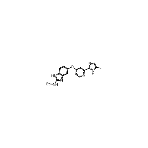 CCNc1nc2cc(Oc3ccnc(-c4ncc(C)[nH]4)c3)ccc2[nH]1